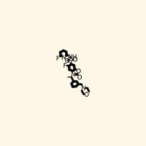 C[C@H](c1cccc(CN2CCOCC2)c1)n1c(=O)oc2cc(S(=O)(=O)Nc3cccc(F)n3)c(F)cc21